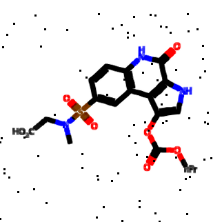 CCCOC(=O)Oc1c[nH]c2c(=O)[nH]c3ccc(S(=O)(=O)N(C)CC(=O)O)cc3c12